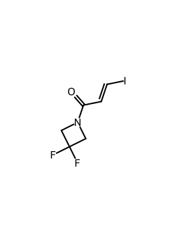 O=C(C=CI)N1CC(F)(F)C1